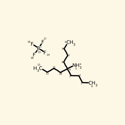 CCCCC([NH3+])(CCCC)CCCC.F[B-](F)(F)F